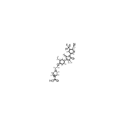 CCc1cc(N2C(=S)N(c3cnc(C#N)c(C(F)(F)F)c3)C(=O)C2(C)C)ccc1OCCN1CC2CC1CN2C(=O)O